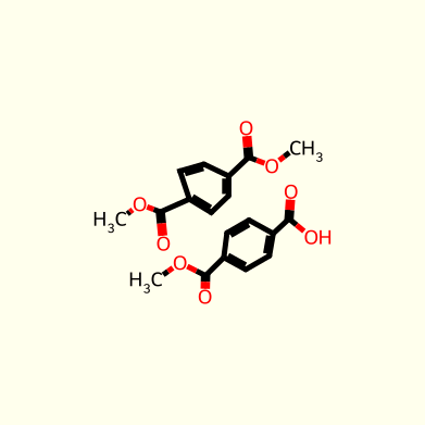 COC(=O)c1ccc(C(=O)O)cc1.COC(=O)c1ccc(C(=O)OC)cc1